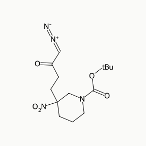 CC(C)(C)OC(=O)N1CCCC(CCC(=O)C=[N+]=[N-])([N+](=O)[O-])C1